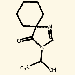 CC(C)N1C=NC2(CCCCC2)C1=O